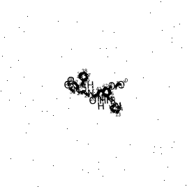 COCCOc1cc(NSc2ccccn2)c2[nH]c(C(=O)NCC(CN3CCS(=O)(=O)CC3)SCc3ccccc3)cc2c1